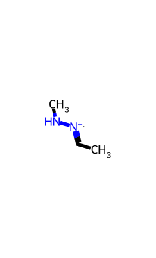 CC=[N+]NC